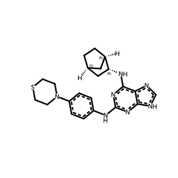 c1nc2c(N[C@@H]3C[C@H]4CC[C@@H]3C4)nc(Nc3ccc(N4CCSCC4)cc3)nc2[nH]1